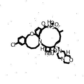 CCCCO[C@]1(CN2CCN3CCOC[C@@H]3C2)/C=C/CC(C)[C@@H](C)S(=O)(=O)NC(=O)c2ccc3c(c2)N(CCCCc2cc(Cl)ccc2CO3)C[C@@H]2CC[C@H]21